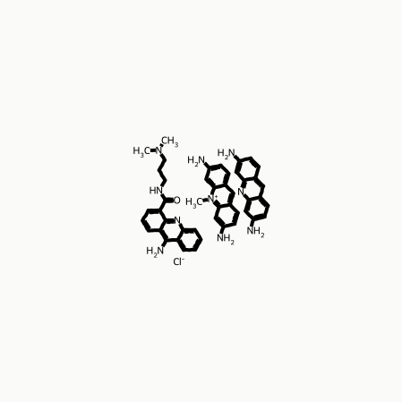 CN(C)CCCNC(=O)c1cccc2c(N)c3ccccc3nc12.C[n+]1c2cc(N)ccc2cc2ccc(N)cc21.Nc1ccc2cc3ccc(N)cc3nc2c1.[Cl-]